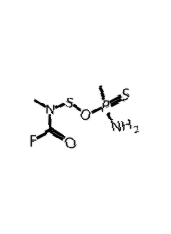 CN(SOP(C)(N)=S)C(=O)F